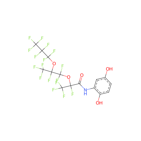 O=C(Nc1cc(O)ccc1O)C(F)(OC(F)(F)C(F)(OC(F)(F)C(F)(F)C(F)(F)F)C(F)(F)F)C(F)(F)F